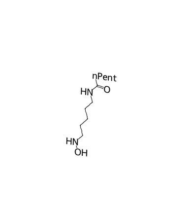 CCCCCC(=O)NCCCCCNO